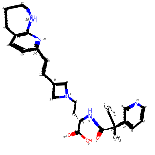 CC(C)(C(=O)N[C@@H](CCN1CC(CCc2ccc3c(n2)NCCC3)C1)C(=O)O)c1cccnc1